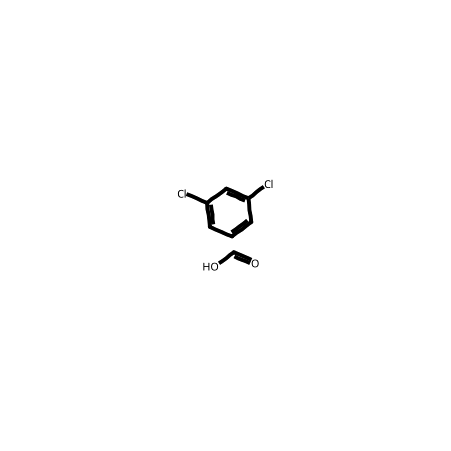 Clc1cccc(Cl)c1.O=CO